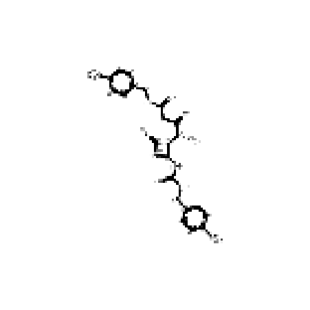 C[C@@H](C(=O)CC(=O)OCc1ccc([N+](=O)[O-])cc1)[C@H]1C(=O)N[C@@H]1NC(=O)OCc1ccc([N+](=O)[O-])cc1